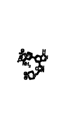 C=C/C(=C\C(NS(C)(=O)=O)=C(/N)OC)C1=CC2NN=CC2C(c2nnc(CN3CCS(=O)(=O)CC3)o2)=C1